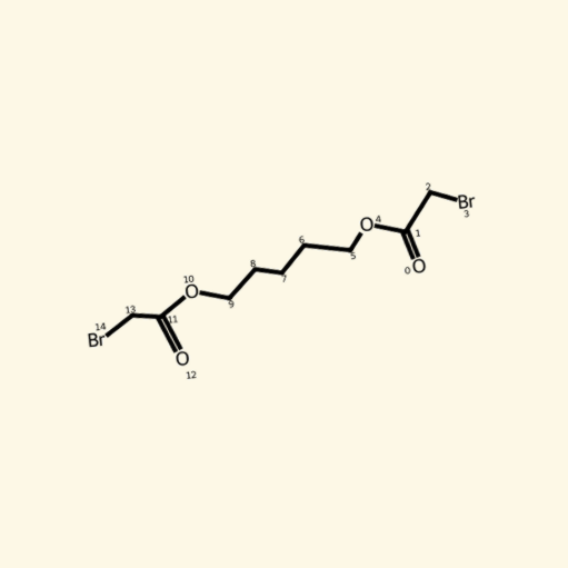 O=C(CBr)OCCCCCOC(=O)CBr